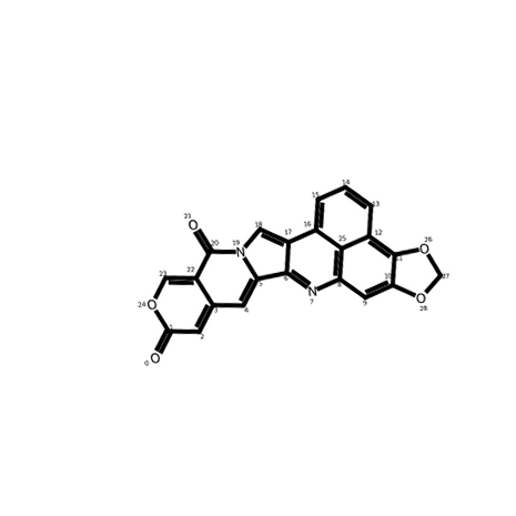 O=c1cc2cc3c4nc5cc6c(c7cccc(c4cn3c(=O)c2co1)c57)OCO6